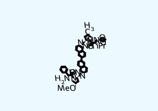 COC[C@H]1C[C@@H](c2nc3ccc4cc(-c5ccc6c(ccc7nc([C@@H]8C[C@H](C)CN8C(=O)[C@@H](NC8OCO8)C(C)C)[nH]c76)c5)ccc4c3[nH]2)N(C(=O)[C@H](N)c2ccccc2)C1